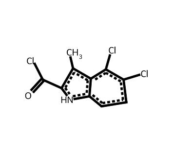 Cc1c(C(=O)Cl)[nH]c2ccc(Cl)c(Cl)c12